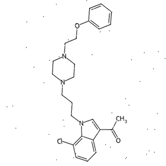 CC(=O)c1cn(CCCN2CCN(CCOc3ccccc3)CC2)c2c(Cl)cccc12